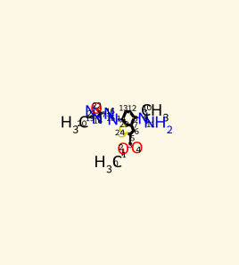 CCOC(=O)c1cc2c(N(C)N)ccc(/N=N/c3nc(C)no3)c2s1